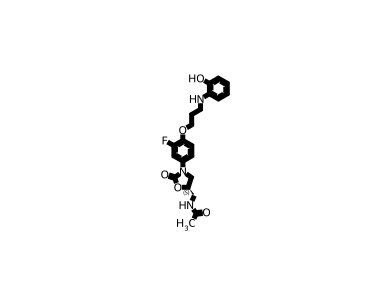 CC(=O)NC[C@H]1CN(c2ccc(OCCCNc3ccccc3O)c(F)c2)C(=O)O1